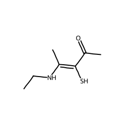 CCN/C(C)=C(\S)C(C)=O